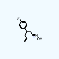 C=[C]CC(C/C=N/O)c1ccc(Br)cc1